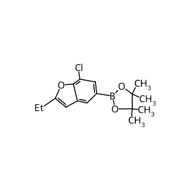 CCc1cc2cc(B3OC(C)(C)C(C)(C)O3)cc(Cl)c2o1